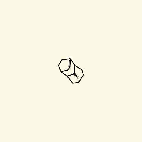 S=C1C2CCCCC1C1CC=C2CC1